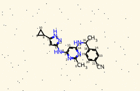 Cc1nc(Nc2cc(C3CC3)[nH]n2)cc(NC(C)c2ccc(C#N)cc2)n1